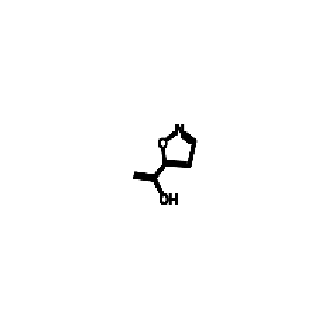 C=C(O)c1ccno1